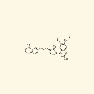 CCOc1ccc([C@H](CC(=O)O)N2CCN(CCCc3ccc4c(n3)NCCC4)C2=O)cc1F